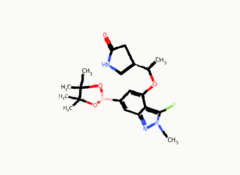 CC(Oc1cc(B2OC(C)(C)C(C)(C)O2)cc2nn(C)c(F)c12)[C@H]1CNC(=O)C1